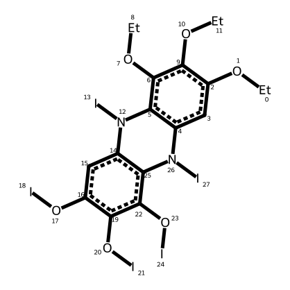 CCOc1cc2c(c(OCC)c1OCC)N(I)c1cc(OI)c(OI)c(OI)c1N2I